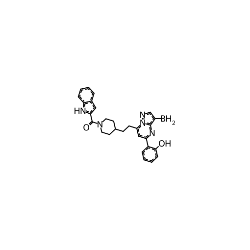 Bc1cnn2c(CCC3CCN(C(=O)c4cc5ccccc5[nH]4)CC3)cc(-c3ccccc3O)nc12